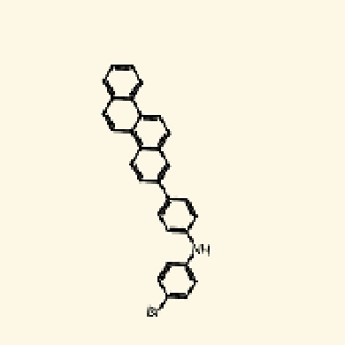 Brc1ccc(Nc2ccc(-c3ccc4c(ccc5c6ccccc6ccc45)c3)cc2)cc1